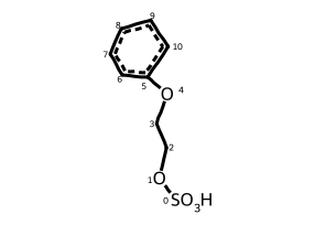 O=S(=O)(O)OCCOc1ccccc1